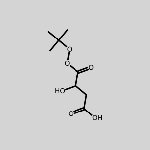 CC(C)(C)OOC(=O)C(O)CC(=O)O